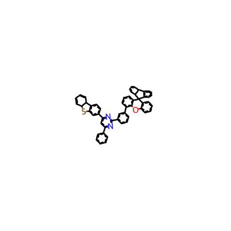 C1=CC2Sc3cc(-c4cc(-c5ccccc5)nc(-c5cccc(-c6cccc7c6Oc6ccccc6C76c7ccccc7C7C=CC=CC76)c5)n4)ccc3C2C=C1